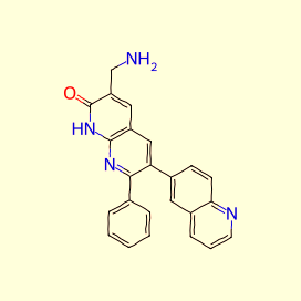 NCc1cc2cc(-c3ccc4ncccc4c3)c(-c3ccccc3)nc2[nH]c1=O